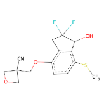 N#CC1(COc2ccc(SC(F)(F)F)c3c2CC(F)(F)C3O)COC1